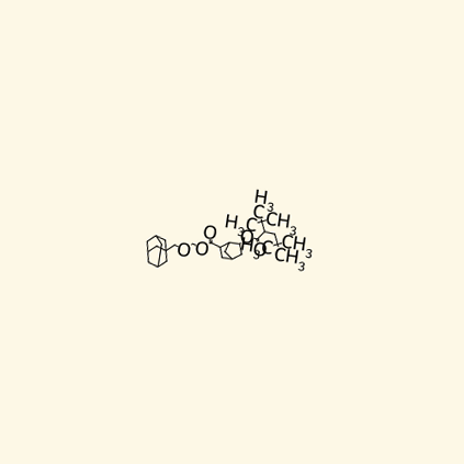 CC(C)(C)CC(C(=O)OC1CC2CC(C(=O)OCOCC34CC5CC(CC(C5)C3)C4)C1C2)C(C)(C)C